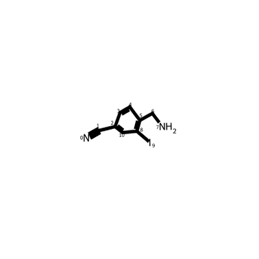 N#Cc1ccc(CN)c(I)c1